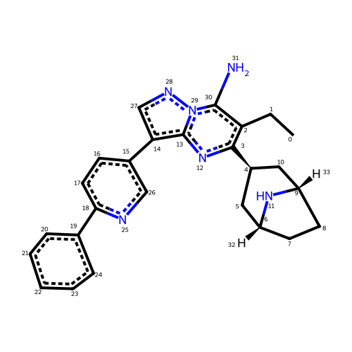 CCc1c([C@@H]2C[C@H]3CC[C@@H](C2)N3)nc2c(-c3ccc(-c4ccccc4)nc3)cnn2c1N